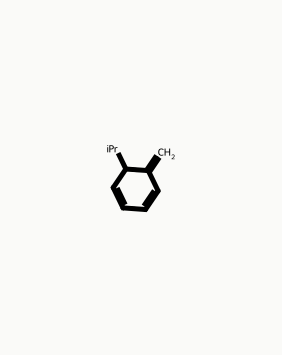 C=C1C=CC=CC1C(C)C